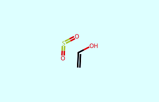 C=CO.O=S=O